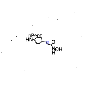 CCCCCNc1ccc(/C=C/C(=O)NO)cc1